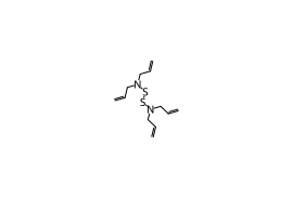 C=CCN(CC=C)SSN(CC=C)CC=C